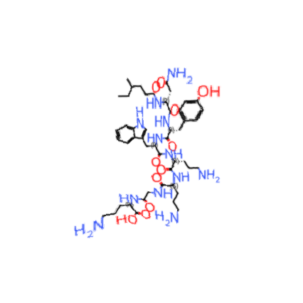 CCC(C)CCC(=O)N[C@H](CC(N)=O)C(=O)N[C@H](Cc1ccc(O)cc1)C(=O)N[C@H](Cc1c[nH]c2ccccc12)C(=O)N[C@H](CCCN)C(=O)N[C@@H](CCCN)C(=O)NCC(=O)N[C@H](CCCN)C(=O)O